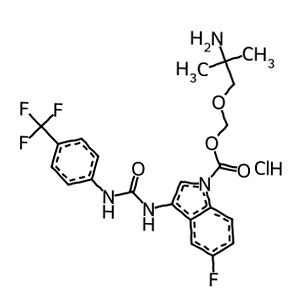 CC(C)(N)COCOC(=O)n1cc(NC(=O)Nc2ccc(C(F)(F)F)cc2)c2cc(F)ccc21.Cl